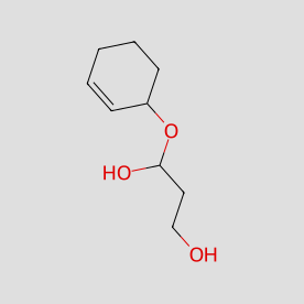 OCCC(O)OC1C=CCCC1